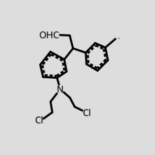 [CH2]c1cccc(C(CC=O)c2cccc(N(CCCl)CCCl)c2)c1